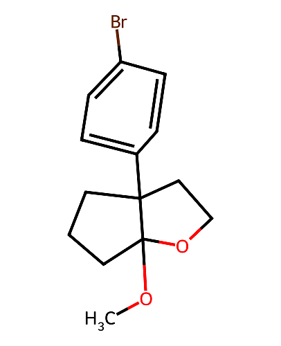 COC12CCCC1(c1ccc(Br)cc1)CCO2